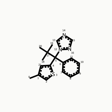 Cc1csc(C(c2ccccc2)(n2cncn2)C(C)(C)C)c1